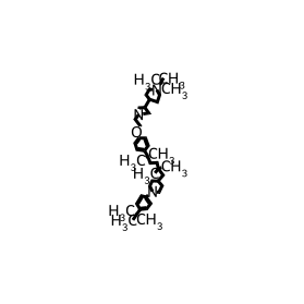 CC(C)(CCC(C)(C)c1ccc(OCCN2CC(C3CCN(C(C)(C)C)CC3)C2)cc1)CC1CCN(c2ccc(C(C)(C)C)cc2)CC1